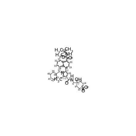 Cc1c(C(=O)NCC2(O)CCS(=O)(=O)CC2)cc(-c2ccc(S(=O)(=O)NC(C)(C)C)c3ccccc23)n1CC1CCCCC1